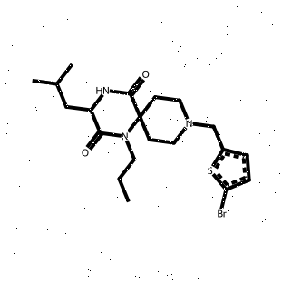 CCCN1C(=O)C(CC(C)C)NC(=O)C12CCN(Cc1ccc(Br)s1)CC2